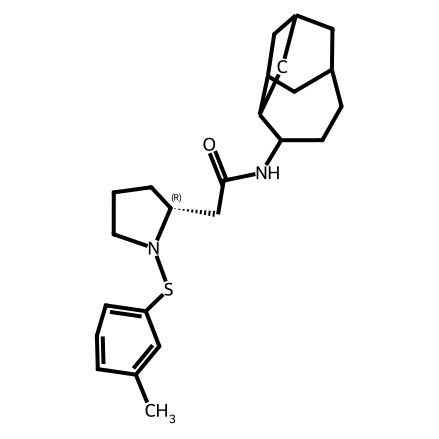 Cc1cccc(SN2CCC[C@@H]2CC(=O)NC2CCC3CC4CC(C3)C2C4)c1